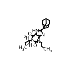 [2H]C([2H])(CC)n1c(=O)c2[nH]c(C34CC5CC(CC3C5)C4)nc2n(CCC)c1=O